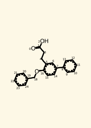 O=C(O)CCc1cc(-c2ccccc2)ccc1OCc1ccccc1